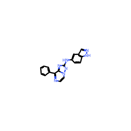 c1ccc(-c2nccn3nc(Nc4ccc5[nH]ncc5c4)nc23)cc1